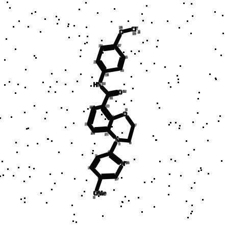 COc1ccc(N2CCOc3c(C(=O)Nc4ccc(OC(F)(F)F)cc4)cccc32)nc1